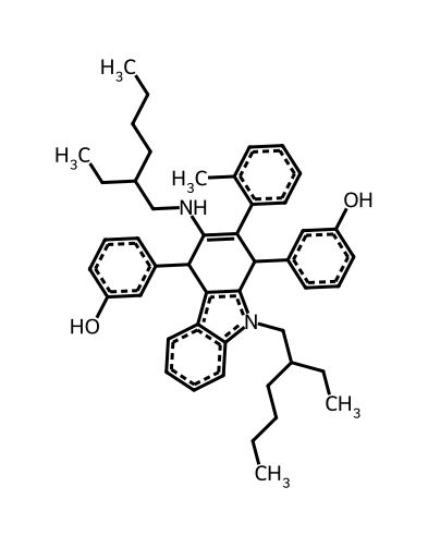 CCCCC(CC)CNC1=C(c2ccccc2C)C(c2cccc(O)c2)c2c(c3ccccc3n2CC(CC)CCCC)C1c1cccc(O)c1